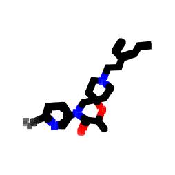 C=C/C=C(\C=C)CCN1CCC2(CC1)CN(c1ccc(C(F)(F)F)nc1)C(=O)C(C)O2